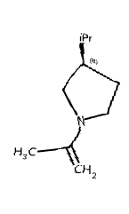 C=C(C)N1CC[C@H](C(C)C)C1